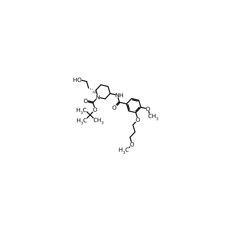 COCCCOc1cc(C(=O)NC2CC[C@@H](CCO)N(C(=O)OC(C)(C)C)C2)ccc1OC